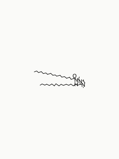 CCCCCCCCCCCCCCCCCC(=O)NC(C)[N+]1=C(CCCCCCCCCCCCCCCCC)N(C)CC1